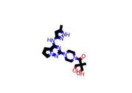 Cc1cc(Nc2nc(N3CCN(C(=O)C(C)(CO)CO)CC3)nn3cccc23)n[nH]1